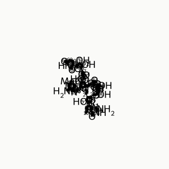 COCC[C@H]1[C@@H](O)[C@H](n2c[n+](C)c3c(=O)[nH]c(N)nc32)O[C@@H]1COP(=O)(O)OP(=O)(O)OP(=O)(O)OCC1O[C@@H](n2cnc3c(N)ncnc32)[C@H](OC)[C@@H]1OP(=O)(O)OC[C@H]1O[C@@H](n2ccc(=O)[nH]c2=O)[C@H](O)[C@@H]1O